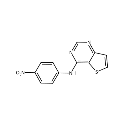 O=[N+]([O-])c1ccc(Nc2ncnc3ccsc23)cc1